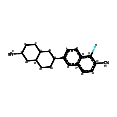 CCCC1CCC2CC(c3ccc4c(F)c(C#N)ccc4c3)CCC2C1